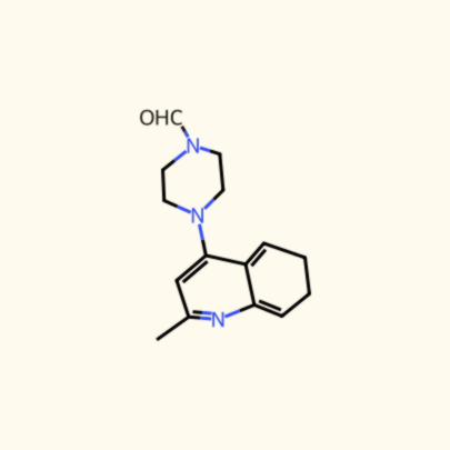 Cc1cc(N2CCN(C=O)CC2)c2c(n1)=CCCC=2